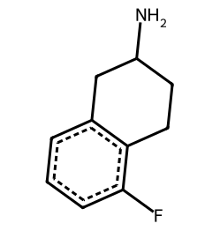 NC1CCc2c(F)cccc2C1